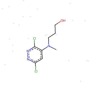 CN(CCCO)c1cc(Cl)nnc1Cl